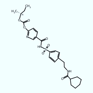 CC[C@@H](C)OC(=O)Oc1ccc(C(=O)NS(=O)(=O)c2ccc(CCNC(=O)C3CCCCC3)cc2)cn1